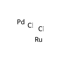 [C].[C].[Pd].[Ru]